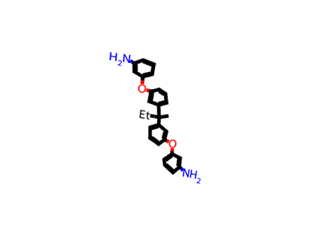 CCC(C)(c1cccc(Oc2cccc(N)c2)c1)c1cccc(Oc2cccc(N)c2)c1